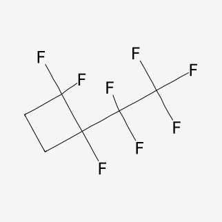 FC(F)(F)C(F)(F)C1(F)CCC1(F)F